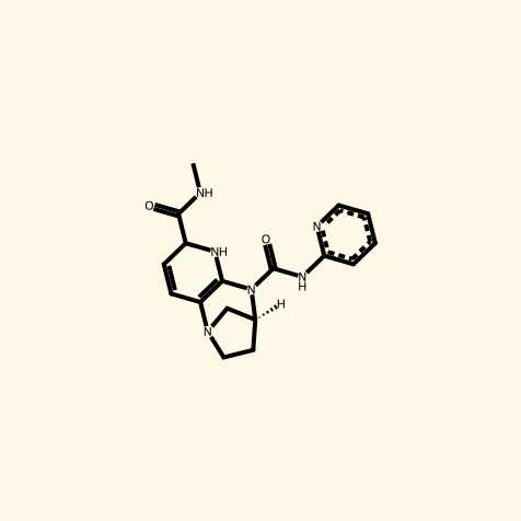 CNC(=O)C1C=CC2=C(N1)N(C(=O)Nc1ccccn1)[C@H]1CCN2C1